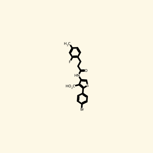 Cc1ccc(CCC(=O)Nc2csc(-c3ccc(Br)cc3)c2C(=O)O)c(F)c1